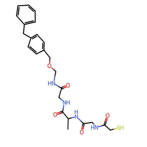 CC(NC(=O)CNC(=O)CS)C(=O)NCC(=O)NCOCc1ccc(Cc2ccccc2)cc1